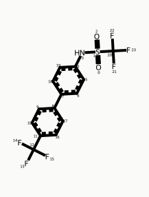 O=S(=O)(Nc1ccc(-c2ccc(C(F)(F)F)cc2)cc1)C(F)(F)F